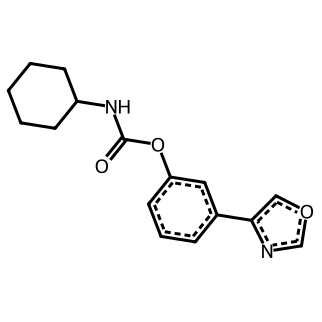 O=C(NC1CCCCC1)Oc1cccc(-c2cocn2)c1